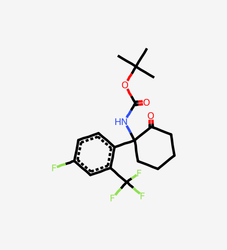 CC(C)(C)OC(=O)NC1(c2ccc(F)cc2C(F)(F)F)CCCCC1=O